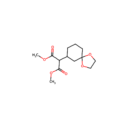 COC(=O)C(C(=O)OC)C1CCCC2(C1)OCCO2